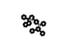 c1ccc(-c2cc(-c3ccccc3)cc(N(c3ccccc3)c3ccc(-c4cccc5c(-c6ccccc6)c6c7ccccc7ccc6n45)cc3)c2)cc1